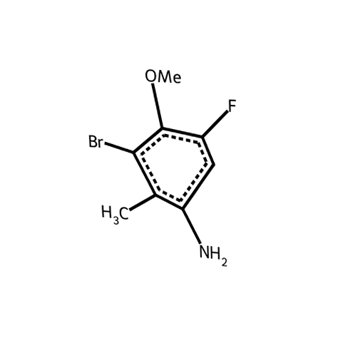 COc1c(F)cc(N)c(C)c1Br